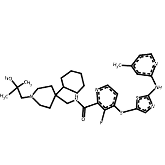 Cc1ccnc(Nc2ncc(Sc3ccnc(C(=O)NCC4(C5CCCCC5)CCN(CC(C)(C)O)CC4)c3F)s2)c1